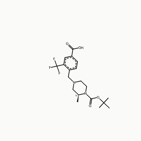 C[C@H]1CN(Cc2ccc(C(=O)O)cc2C(F)(F)F)CCN1C(=O)OC(C)(C)C